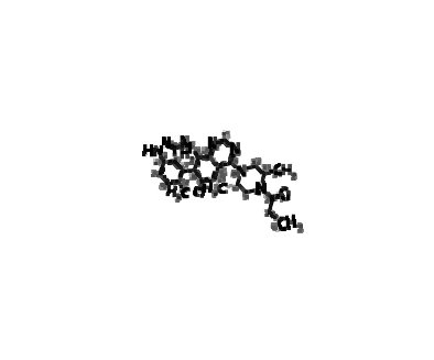 C=CC(=O)N1C[C@H](C)N(c2ncnc3c(F)c(-c4c(C)ccc5[nH]nc(N)c45)c(Cl)cc23)C[C@H]1C